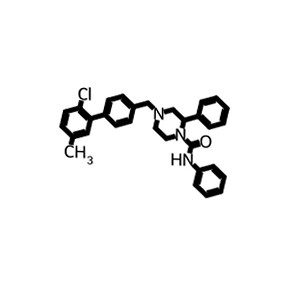 Cc1ccc(Cl)c(-c2ccc(CN3CCN(C(=O)Nc4ccccc4)C(c4ccccc4)C3)cc2)c1